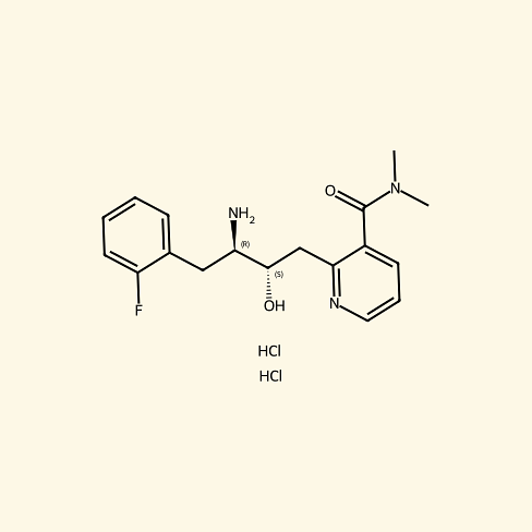 CN(C)C(=O)c1cccnc1C[C@H](O)[C@H](N)Cc1ccccc1F.Cl.Cl